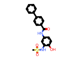 CS(=O)(=O)Nc1cc(NC(=O)c2ccc(-c3ccccc3)cc2)ccc1O